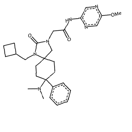 COc1cnc(NC(=O)CN2CC3(CCC(c4ccccc4)(N(C)C)CC3)N(CC3CCC3)C2=O)cn1